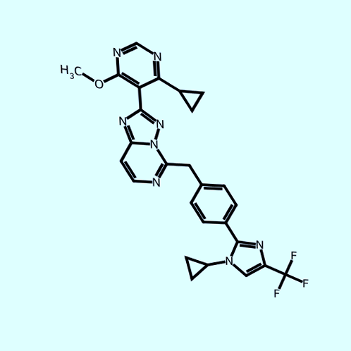 COc1ncnc(C2CC2)c1-c1nc2ccnc(Cc3ccc(-c4nc(C(F)(F)F)cn4C4CC4)cc3)n2n1